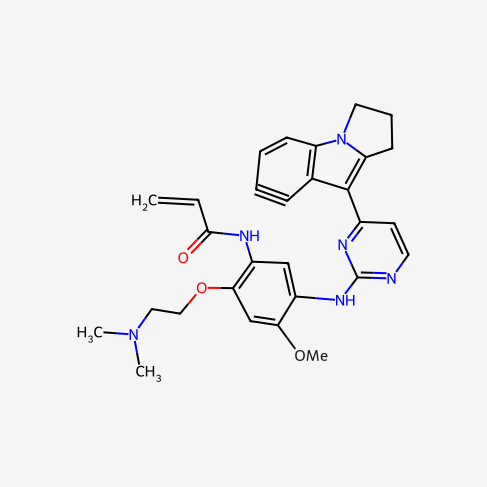 C=CC(=O)Nc1cc(Nc2nccc(-c3c4n(c5ccc#cc35)CCC4)n2)c(OC)cc1OCCN(C)C